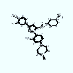 CN1CCN(c2ccc(-n3nc(-c4ccc(C#N)c(F)c4)cc3NC[C@H]3CCC[C@H](N)C3)c(F)c2)CC1